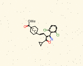 COC(=O)C12CCC(C=Cc3c(-c4c(Cl)cccc4Cl)noc3C3CC3)(CC1)CC2